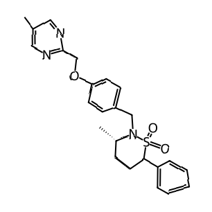 Cc1cnc(COc2ccc(CN3[C@@H](C)CCC(c4ccccc4)S3(=O)=O)cc2)nc1